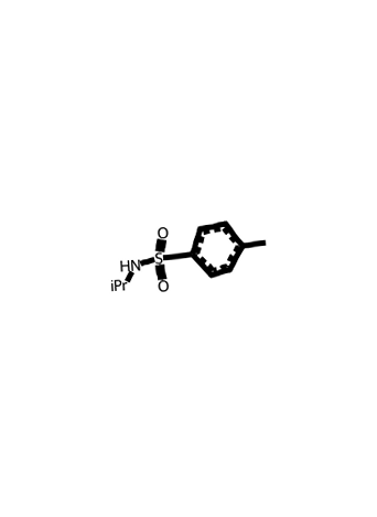 Cc1ccc(S(=O)(=O)NC(C)C)cc1